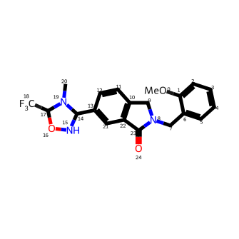 COc1ccccc1CN1Cc2ccc(C3NOC(C(F)(F)F)N3C)cc2C1=O